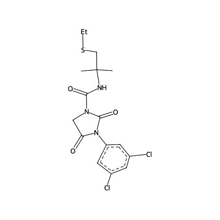 CCSCC(C)(C)NC(=O)N1CC(=O)N(c2cc(Cl)cc(Cl)c2)C1=O